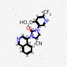 N#C[C@H]1CN(c2cnc(C(F)(F)F)cc2C(=O)O)C(=O)N1c1cncc2ccccc12